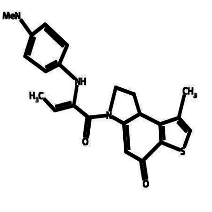 C/C=C(\Nc1ccc(NC)cc1)C(=O)N1CCC2C1=CC(=O)c1scc(C)c12